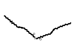 CCCCCCCCCCCCCC#CC#CCCCCCCCCC(=O)CCN(C)CCC(=O)CCCCCCCCC#CC#CCCCCCCCCCCCCC